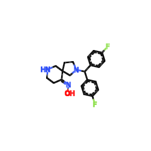 ON=C1CCNCC12CCN(C(c1ccc(F)cc1)c1ccc(F)cc1)C2